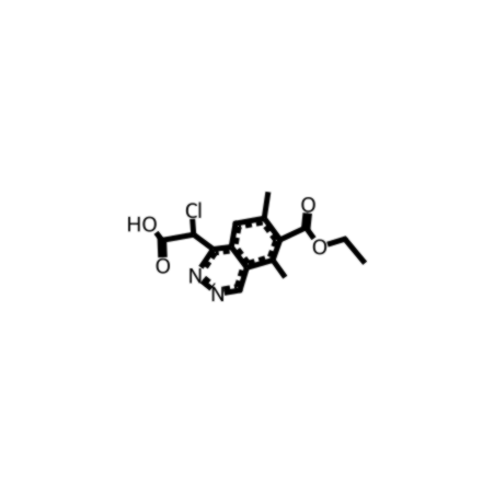 CCOC(=O)c1c(C)cc2c(C(Cl)C(=O)O)nncc2c1C